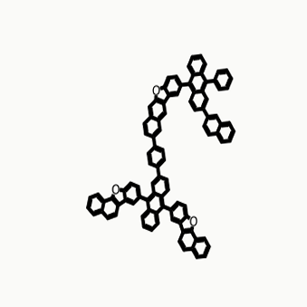 c1ccc(-c2c3ccccc3c(-c3ccc4oc5cc6ccc(-c7ccc(-c8ccc9c(-c%10ccc%11oc%12c%13ccccc%13ccc%12c%11c%10)c%10ccccc%10c(-c%10ccc%11oc%12c%13ccccc%13ccc%12c%11c%10)c9c8)cc7)cc6cc5c4c3)c3ccc(-c4ccc5ccccc5c4)cc23)cc1